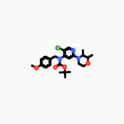 COc1ccc(CN(C(=O)OC(C)(C)C)c2cc(N3CCOC(C)C3C)ncc2Cl)cc1